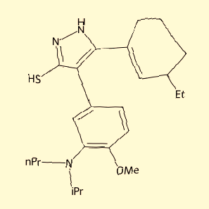 CCCN(c1cc(-c2c(S)n[nH]c2C2=CC(CC)CCC2)ccc1OC)C(C)C